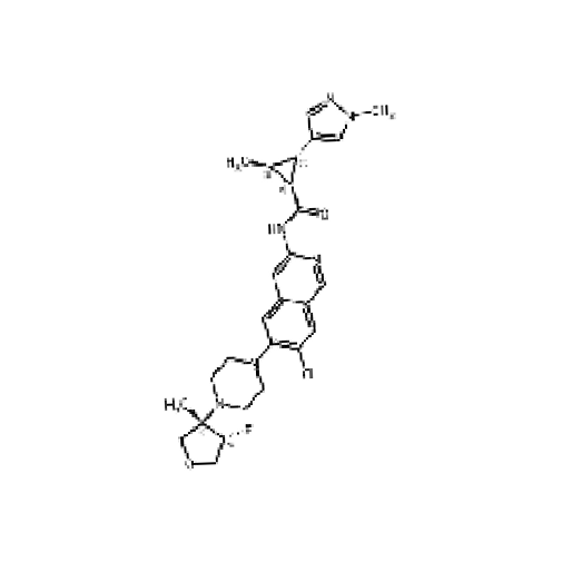 C[C@@H]1[C@H](C(=O)Nc2cc3cc(N4CCN([C@@]5(C)COC[C@H]5F)CC4)c(Cl)cc3cn2)[C@H]1c1cnn(C)c1